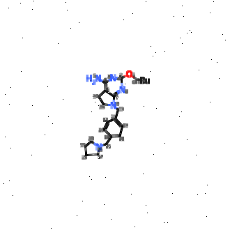 CCCCOc1nc(N)c2c(n1)N(Cc1ccc(CN3CCCC3)cc1)CC2